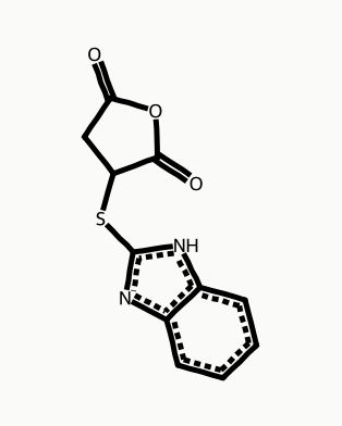 O=C1CC(Sc2nc3ccccc3[nH]2)C(=O)O1